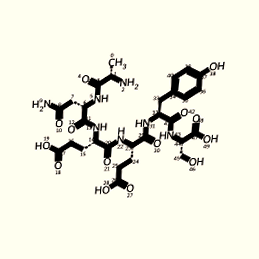 C[C@H](N)C(=O)N[C@@H](CC(N)=O)C(=O)N[C@@H](CCC(=O)O)C(=O)N[C@@H](CCC(=O)O)C(=O)N[C@@H](Cc1ccc(O)cc1)C(=O)N[C@@H](CO)C(=O)O